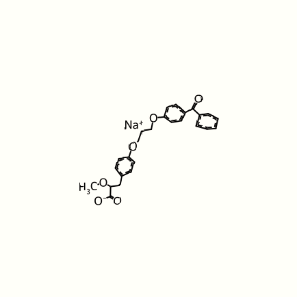 COC(Cc1ccc(OCCCOc2ccc(C(=O)c3ccccc3)cc2)cc1)C(=O)[O-].[Na+]